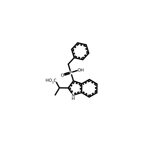 CC(C(=O)O)c1[nH]c2ccccc2c1P(=O)(O)Cc1ccccc1